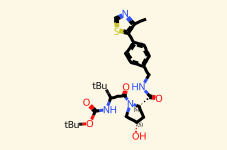 Cc1ncsc1-c1ccc(CNC(=O)[C@@H]2C[C@H](O)CN2C(=O)C(NC(=O)OC(C)(C)C)C(C)(C)C)cc1